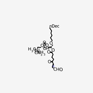 CCCCCCCCCCCCCCCCOC[C@H](COP(=O)(O)OCC[N+](C)(C)C)OC(=O)CCCC(=O)/C=C/C=O